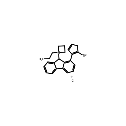 CCC[Si]1(C2c3ccccc3-c3cccc(C4=[C]([Ti+2])CC=C4)c32)CCC1.[Cl-].[Cl-]